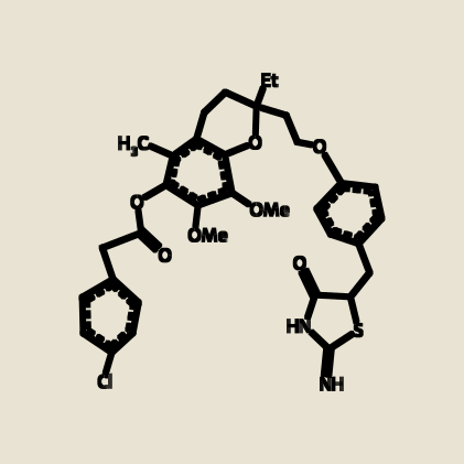 CCC1(CCOc2ccc(CC3SC(=N)NC3=O)cc2)CCc2c(C)c(OC(=O)Cc3ccc(Cl)cc3)c(OC)c(OC)c2O1